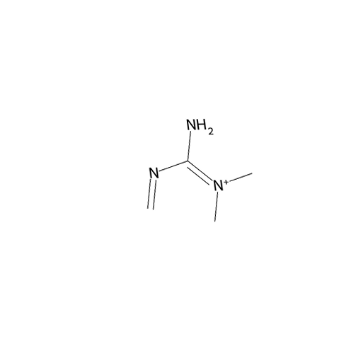 C=NC(N)=[N+](C)C